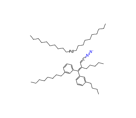 CCCCCCCCC[CH2][Pd][CH2]CCCCCCCCC.CCCCCCCCc1cccc(C(=C(C=C=[N+]=[N-])CCCCC)c2cccc(CCCC)c2)c1